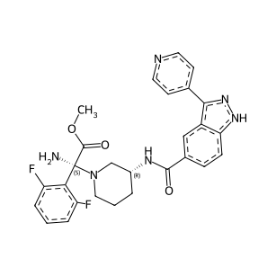 COC(=O)[C@](N)(c1c(F)cccc1F)N1CCC[C@@H](NC(=O)c2ccc3[nH]nc(-c4ccncc4)c3c2)C1